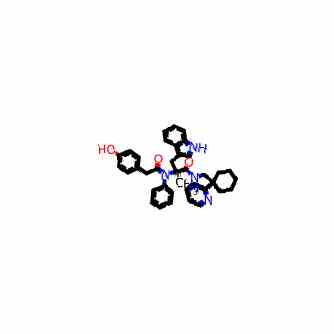 C[C@](Cc1c[nH]c2ccccc12)(C(=O)NCC1(c2ccccn2)CCCCC1)N(C(=O)Cc1ccc(O)cc1)c1ccccc1